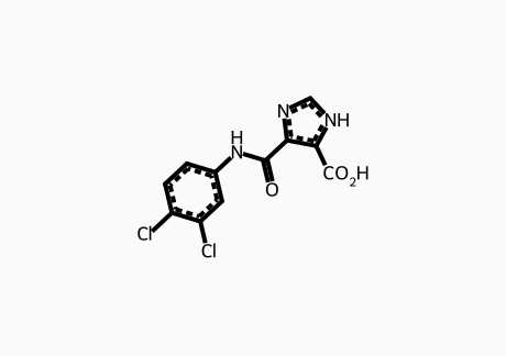 O=C(Nc1ccc(Cl)c(Cl)c1)c1nc[nH]c1C(=O)O